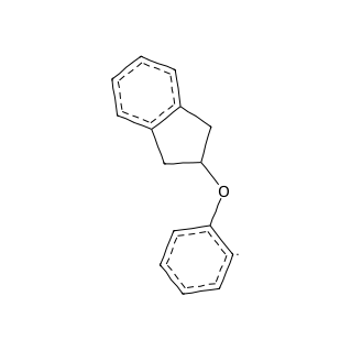 [c]1ccccc1OC1Cc2ccccc2C1